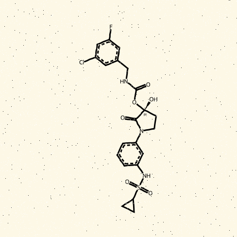 O=C(NCc1cc(F)cc(Cl)c1)O[C@]1(O)CCN(c2cccc(NS(=O)(=O)C3CC3)c2)C1=O